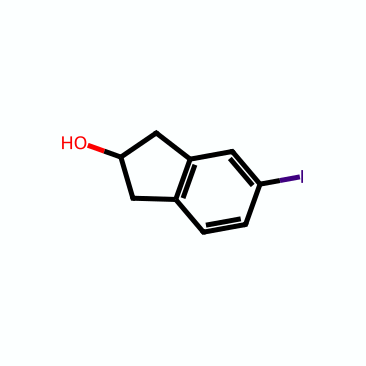 OC1Cc2ccc(I)cc2C1